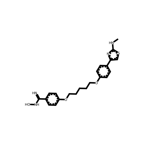 CNc1nc(-c2ccc(OCCCCCOc3ccc(C(=N)NO)cc3)cc2)cs1